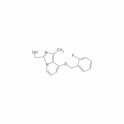 Cc1nc(CO)n2cccc(OCc3ccccc3F)c12